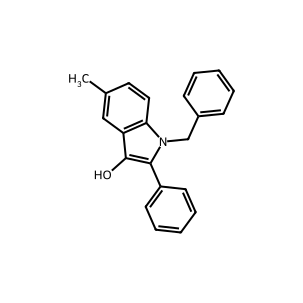 Cc1ccc2c(c1)c(O)c(-c1ccccc1)n2Cc1ccccc1